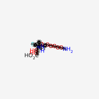 CC(C)c1c(C(=O)Nc2ccc(OCCOCCOCCOCCOCCN)cc2)c(-c2ccccc2)c(-c2ccc(F)cc2)n1CCC(O)CC(O)CC(=O)O